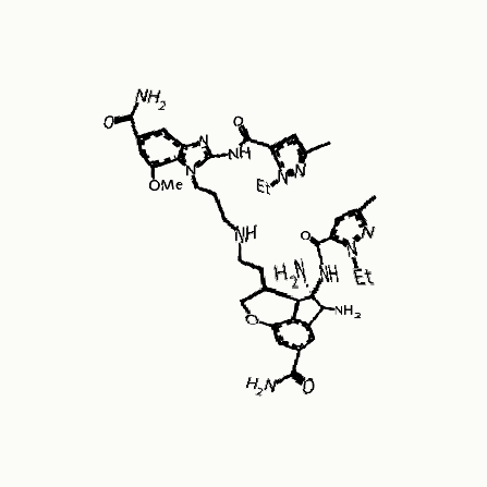 CCn1nc(C)cc1C(=O)Nc1nc2cc(C(N)=O)cc(OC)c2n1CCCNCCC1COc2cc(C(N)=O)cc3c2C1[C@@](N)(NC(=O)c1cc(C)nn1CC)C3N